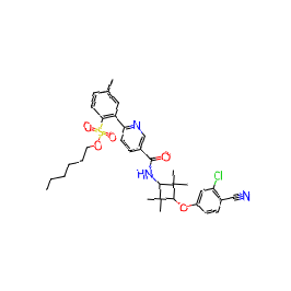 CCCCCCOS(=O)(=O)c1ccc(C)cc1-c1ccc(C(=O)NC2C(C)(C)C(Oc3ccc(C#N)c(Cl)c3)C2(C)C)cn1